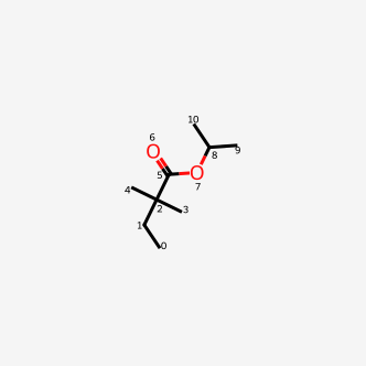 CCC(C)(C)C(=O)OC(C)C